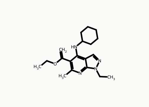 C=C(OCC)c1c(C)nc2c(cnn2CC)c1NC1CCCCC1